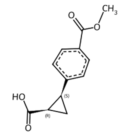 COC(=O)c1ccc([C@H]2C[C@H]2C(=O)O)cc1